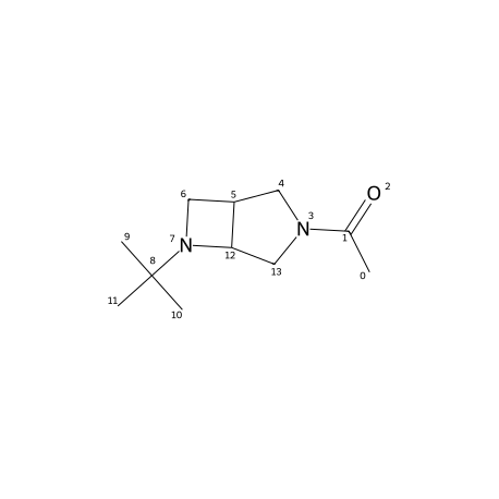 CC(=O)N1CC2CN(C(C)(C)C)C2C1